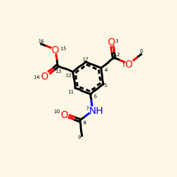 COC(=O)c1cc(NC(C)=O)cc(C(=O)OC)c1